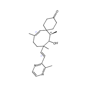 C/C1=C/C2(CCC(=O)CC2)[C@@H](C)C(O)C(C)(/C=C/c2nccnc2C)CC1